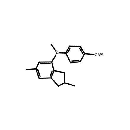 COc1ccc(N(C)c2cc(C)cc3c2CC(C)C3)cc1